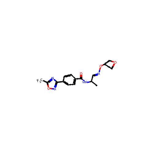 CC(C=NOC1COC1)NC(=O)c1ccc(-c2noc(C(F)(F)F)n2)cc1